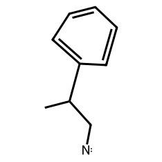 CC(C[N])c1ccccc1